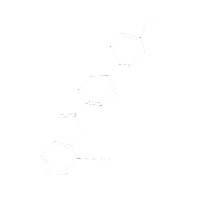 CCCCCCCCc1ccc(-c2ccc(C(=O)Oc3ccccc3CCCCC)cc2)cc1